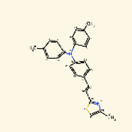 Cc1ccc(N(c2ccc(C)cc2)c2ccc(C=Cc3nc(C)cs3)cc2)cc1